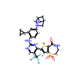 O=C1NCCS(=O)(=O)c2cc(-c3nc(Nc4ccc(N5CC6CC(C5)N6)cc4C4CC4)ncc3C(F)(F)F)sc21